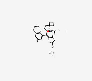 CC(C)(C)OC(=O)N1C[C@H](N2CCCc3cc(Cl)cc(-c4ccnc5cc(COS(C)(=O)=O)sc45)c32)CC12CCC2